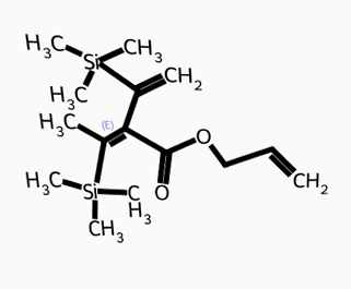 C=CCOC(=O)/C(C(=C)[Si](C)(C)C)=C(/C)[Si](C)(C)C